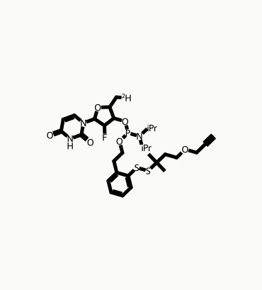 [2H]CC1OC(n2ccc(=O)[nH]c2=O)C(F)C1OP(OCCc1ccccc1SSC(C)(C)CCOCC#C)N(C(C)C)C(C)C